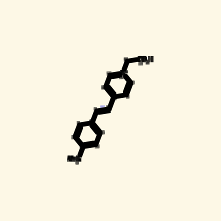 CNc1ccc(/C=C/c2cc[n+](CC(=O)O)cc2)cc1